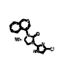 N#C[C@H]1CN(c2nc(Cl)c[nH]2)C(=O)N1c1cncc2ccccc12